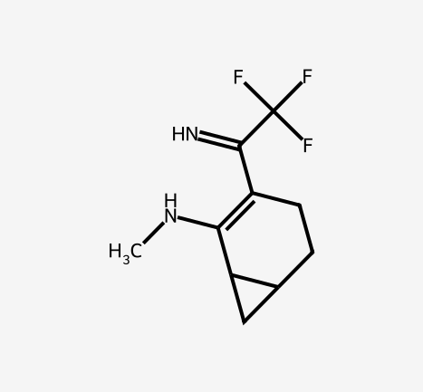 CNC1=C(C(=N)C(F)(F)F)CCC2CC12